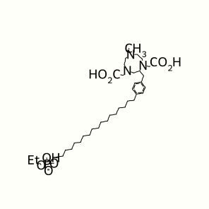 CCOP(=O)(O)OCCCCCCCCCCCCCCCCCCc1ccc(CC2CN(CC(=O)O)CCN(C)CCN2CC(=O)O)cc1